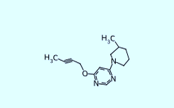 CC#CCOc1cc(N2CCCC(C)C2)ncn1